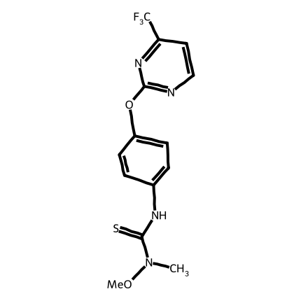 CON(C)C(=S)Nc1ccc(Oc2nccc(C(F)(F)F)n2)cc1